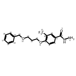 NNC(=O)c1ccc(OCCCOCc2ccccc2)c(C(F)(F)F)c1